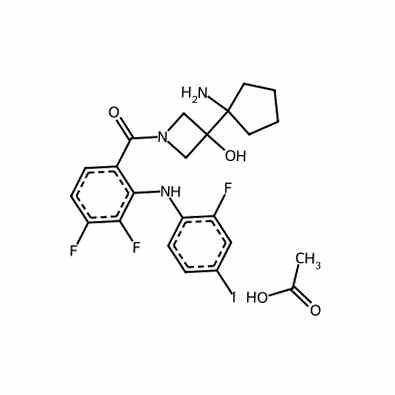 CC(=O)O.NC1(C2(O)CN(C(=O)c3ccc(F)c(F)c3Nc3ccc(I)cc3F)C2)CCCC1